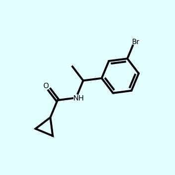 CC(NC(=O)C1CC1)c1cccc(Br)c1